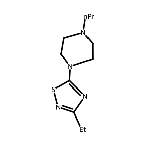 CCCN1CCN(c2nc(CC)ns2)CC1